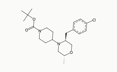 C[C@@H]1CN(C2CCN(C(=O)OC(C)(C)C)CC2)[C@@H](Cc2ccc(Cl)cc2)CO1